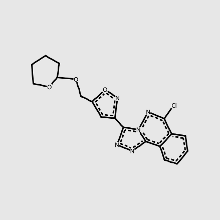 Clc1nn2c(-c3cc(COC4CCCCO4)on3)nnc2c2ccccc12